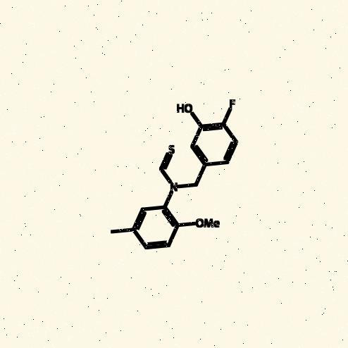 COc1ccc(C)cc1N(C=S)Cc1ccc(F)c(O)c1